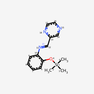 C[Si](C)(C)Oc1ccccc1/N=C/c1cnccn1